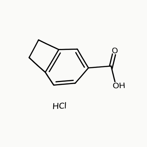 Cl.O=C(O)c1ccc2c(c1)CC2